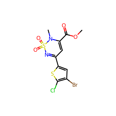 COC(=O)C1=CC(c2cc(Br)c(Cl)s2)=NS(=O)(=O)N1C